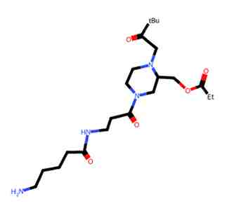 CCC(=O)OCC1CN(C(=O)CCNC(=O)CCCCN)CCN1CC(=O)C(C)(C)C